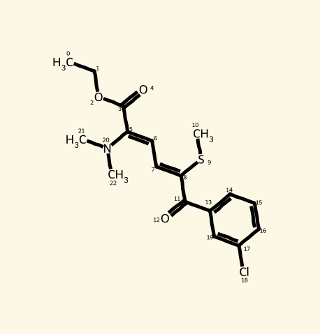 CCOC(=O)C(=CC=C(SC)C(=O)c1cccc(Cl)c1)N(C)C